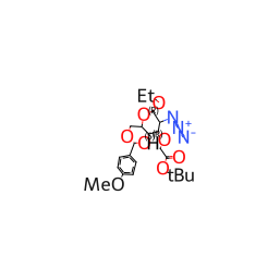 CCO[C@@H]1OC2COC(c3ccc(OC)cc3)O[C@H]2[C@H](OCC(=O)OC(C)(C)C)C1N=[N+]=[N-]